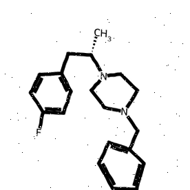 C[C@@H](Cc1ccc(F)cc1)N1CCN(Cc2ccccc2)CC1